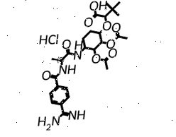 CC(=O)OC1C(NC(=O)[C@H](C)NC(=O)c2ccc(C(=N)N)cc2)CCC(OC(C(=O)O)C(C)(C)C)C1OC(C)=O.Cl